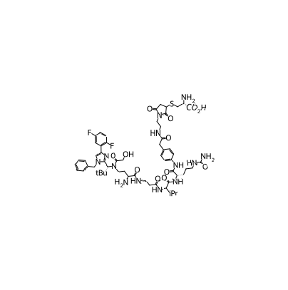 CC(C)C(NC(=O)CCNC(=O)[C@@H](N)CCN(C(=O)CO)[C@@H](c1nc(-c2cc(F)ccc2F)cn1Cc1ccccc1)C(C)(C)C)C(=O)N[C@@H](CCCNC(N)=O)C(=O)Nc1ccc(CC(=O)NCCN2C(=O)CC(SC[C@H](N)C(=O)O)C2=O)cc1